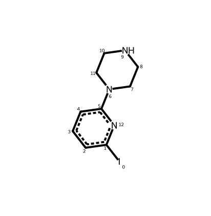 Ic1cccc(N2CCNCC2)n1